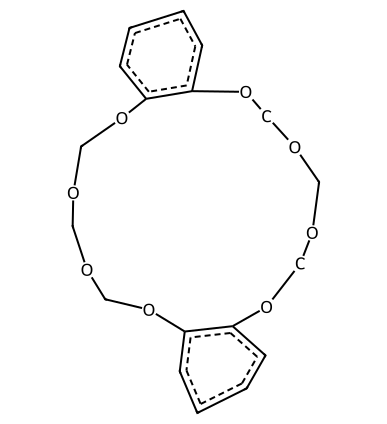 c1ccc2c(c1)OCOCOCOc1ccccc1OCOCOCO2